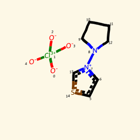 [O-][Cl+3]([O-])([O-])[O-].c1c[n+](N2CCCC2)cs1